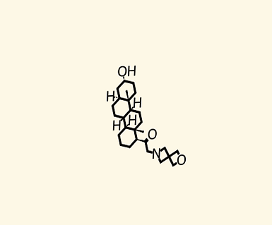 C[C@]12CC[C@@H](O)C[C@@H]1CC[C@@H]1[C@@H]2CC[C@]2(C)[C@@H](C(=O)CN3CC4(COC4)C3)CCC[C@@H]12